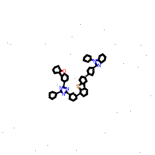 c1ccc(-c2nc(-c3cccc(-c4cccc5c4sc4ccc(-c6ccc(-c7nc8ccccc8n7-c7ccccc7)cc6)cc45)c3)nc(-c3ccc4oc5ccccc5c4c3)n2)cc1